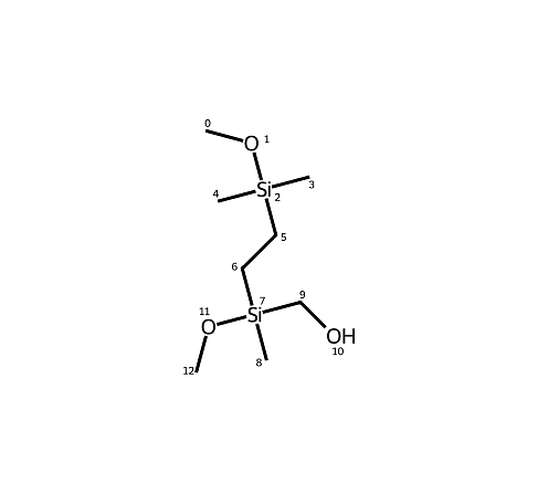 CO[Si](C)(C)CC[Si](C)(CO)OC